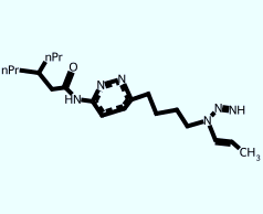 C/C=C/N(CCCCc1ccc(NC(=O)CC(CCC)CCC)nn1)N=N